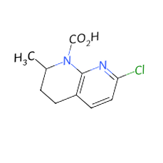 CC1CCc2ccc(Cl)nc2N1C(=O)O